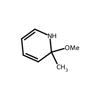 COC1(C)C=CC=CN1